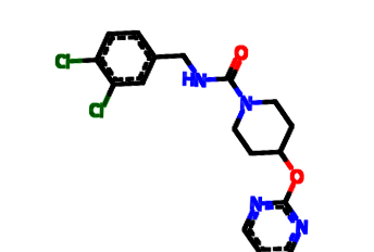 O=C(NCc1ccc(Cl)c(Cl)c1)N1CCC(Oc2ncccn2)CC1